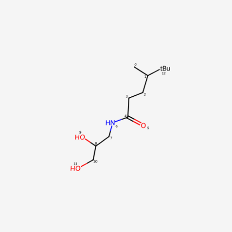 CC(CCC(=O)NCC(O)CO)C(C)(C)C